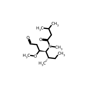 CC[C@H](C)[C@@H](C(CC=O)OC)N(C)C(=O)CC(C)C